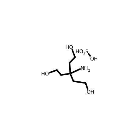 NC(CCO)(CCO)CCO.O=S(=O)(O)O